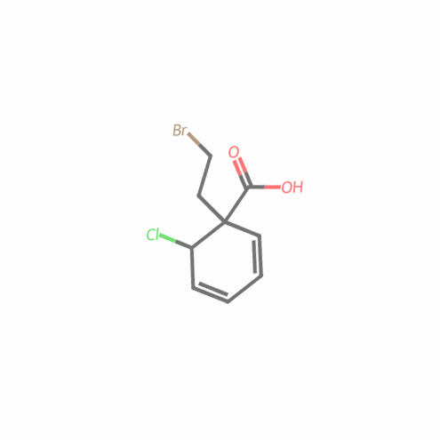 O=C(O)C1(CCBr)C=CC=CC1Cl